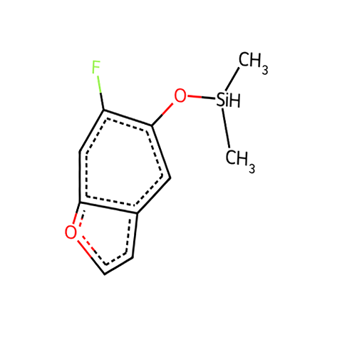 C[SiH](C)Oc1cc2ccoc2cc1F